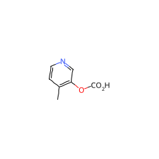 Cc1ccncc1OC(=O)O